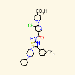 O=C(Nc1nc(-c2cccc(C(F)(F)F)c2)c(N2CCN(C3CCCCC3)CC2)s1)c1cnc(N2CCC(C(=O)O)CC2)c(Cl)c1